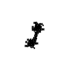 CC(OC(C)(C)C)C1C[C@@H](OC(=O)C2CCC(C(=O)O[C@@H]3CC(C(C)OC(C)(C)C)[C@]4(C)C5C[C@H](O)[C@@]6(C)C(CC[C@@H]6[C@H](C)CCC(=O)O)C5[C@H](O)C[C@@H]4C3)CC2)C[C@H]2C[C@@H](O)C3C(C[C@H](O)[C@@]4(C)C3CC[C@@H]4[C@H](C)CCC(=O)O)[C@@]12C